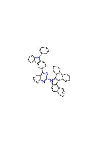 c1ccc(-n2c3ccccc3c3cc(-c4nc(-n5c6ccc7ccccc7c6c6c7ccccc7c7ccccc7c65)nc5ccccc45)ccc32)cc1